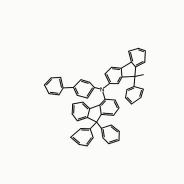 CC1(c2ccccc2)c2ccccc2-c2ccc(N(c3ccc(-c4ccccc4)cc3)c3cccc4c3-c3ccccc3C4(c3ccccc3)c3ccccc3)cc21